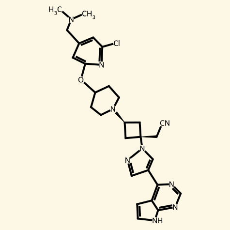 CN(C)Cc1cc(Cl)nc(OC2CCN([C@H]3C[C@](CC#N)(n4cc(-c5ncnc6[nH]ccc56)cn4)C3)CC2)c1